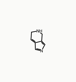 C1=NC=C2CNCC=C12